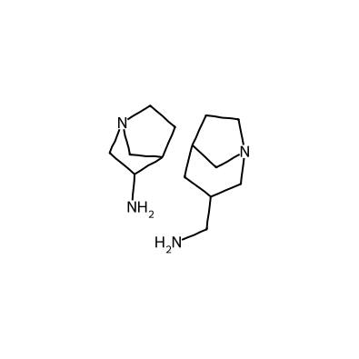 NC1CN2CCC1C2.NCC1CC2CCN(C1)C2